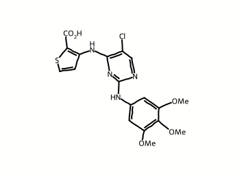 COc1cc(Nc2ncc(Cl)c(Nc3ccsc3C(=O)O)n2)cc(OC)c1OC